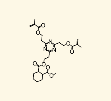 C=C(C)C(=O)OCCc1nc(CCOC(=O)C(=C)C)nc(CCOC(=O)C2CCCCC2C(=O)OC)n1